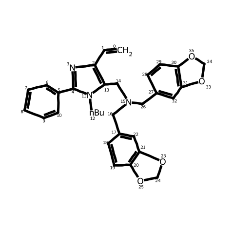 C=Cc1nc(-c2ccccc2)n(CCCC)c1CN(Cc1ccc2c(c1)OCO2)Cc1ccc2c(c1)OCO2